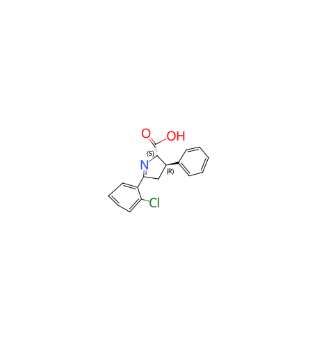 O=C(O)[C@H]1N=C(c2ccccc2Cl)C[C@@H]1c1ccccc1